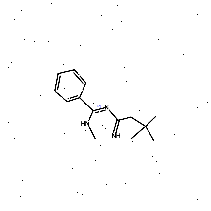 CN/C(=N\C(=N)CC(C)(C)C)c1ccccc1